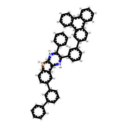 c1ccc(-c2cccc(-c3ccc4sc5nc(-c6ccccc6)c(-c6cccc(-c7ccc8c9ccccc9c9ccccc9c8c7)c6)nc5c4c3)c2)cc1